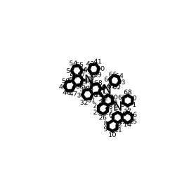 c1ccc(N(c2cc3ccccc3c3ccccc23)c2cc3c(c4ccccc24)c2c4ccccc4c(N(c4ccccc4)c4cc5ccccc5c5ccccc45)cc2n3-c2ccccc2)cc1